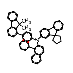 CC1(C)c2ccccc2-c2cccc(-c3ccc(N(c4ccc5c(c4)C4(CCCC4)c4ccccc4-5)c4ccc5ccccc5c4-c4ccccc4)cc3)c21